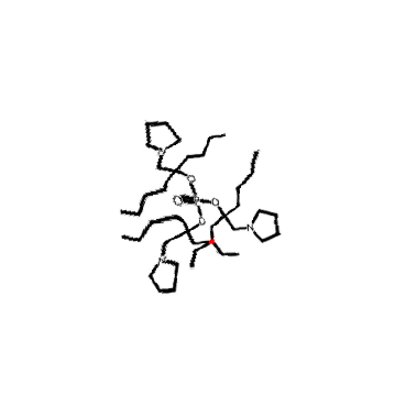 CCCCC(CCCC)(CN1CCCC1)OP(=O)(OC(CCCC)(CCCC)CN1CCCC1)OC(CCCC)(CCCC)CN1CCCC1